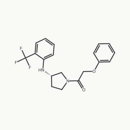 O=C(COc1ccccc1)N1CC[C@H](Nc2ccccc2C(F)(F)F)C1